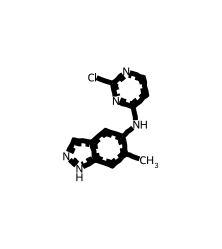 Cc1cc2[nH]ncc2cc1Nc1ccnc(Cl)n1